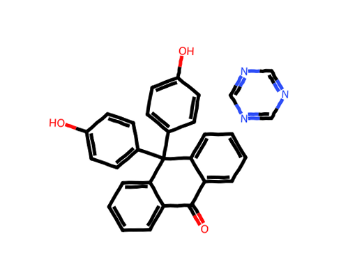 O=C1c2ccccc2C(c2ccc(O)cc2)(c2ccc(O)cc2)c2ccccc21.c1ncncn1